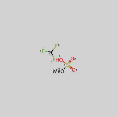 COS(=O)(=O)O.FC(F)F